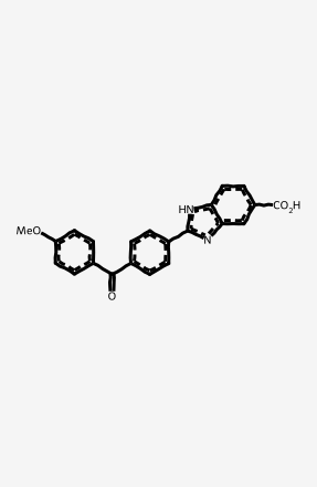 COc1ccc(C(=O)c2ccc(-c3nc4cc(C(=O)O)ccc4[nH]3)cc2)cc1